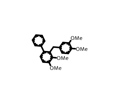 COc1ccc(Cc2c(-c3ccccc3)ccc(OC)c2OC)cc1OC